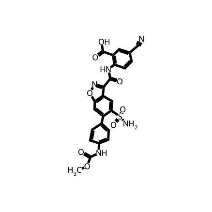 COC(=O)Nc1ccc(-c2cc3onc(C(=O)Nc4ccc(C#N)cc4C(=O)O)c3cc2S(N)(=O)=O)cc1